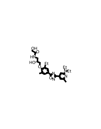 CCc1cc(-c2nc(-c3cc(C)nc(N(CC)CC)c3)no2)cc(C)c1OC[C@H](O)CNC(=O)CO